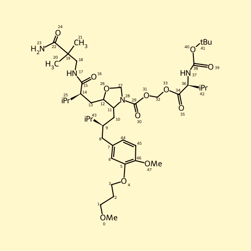 COCCCOc1cc(C[C@H](CC2C(C[C@H](C(=O)NCC(C)(C)C(N)=O)C(C)C)OCN2C(=O)OCOC(=O)[C@@H](NC(=O)OC(C)(C)C)C(C)C)C(C)C)ccc1OC